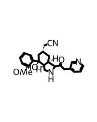 COc1ccccc1[C@]1(O)C[C@H](CC#N)C[C@H]2C(C(=O)Cc3cccnc3)NC[C@H]21